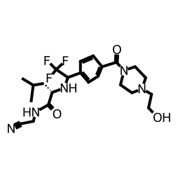 CC(C)C[C@H](NC(c1ccc(C(=O)N2CCN(CCO)CC2)cc1)C(F)(F)F)C(=O)NCC#N